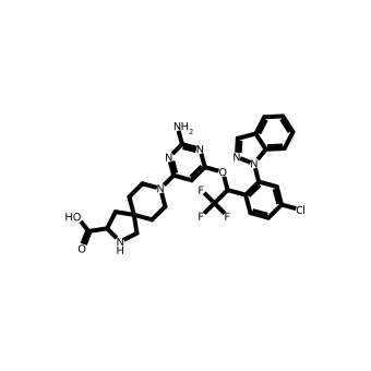 Nc1nc(OC(c2ccc(Cl)cc2-n2ncc3ccccc32)C(F)(F)F)cc(N2CCC3(CC2)CNC(C(=O)O)C3)n1